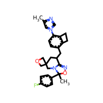 Cc1cn(-c2ccc(CC3CC4(COC4)CN4C3=NOC4(C)c3ccc(F)cc3)c3c2CC3)cn1